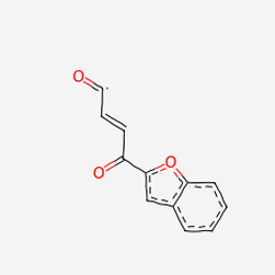 O=[C]C=CC(=O)c1cc2ccccc2o1